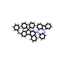 Cn1c2ccccc2c2cccc(N(c3ccccc3)c3cc4c(c5ccccc35)-c3ccc(Cc5ccccc5)cc3C4(c3ccccc3)c3ccccc3)c21